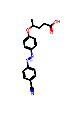 CC(CCC(=O)O)Oc1ccc(/N=N/c2ccc(C#N)cc2)cc1